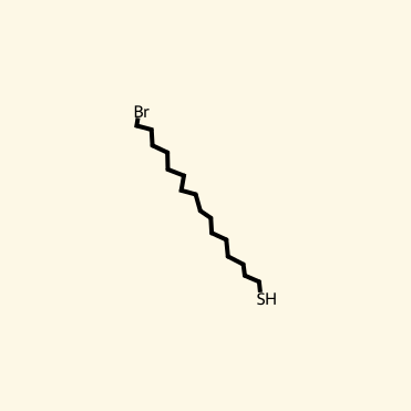 SCCCCCCCCCCCCCCCCBr